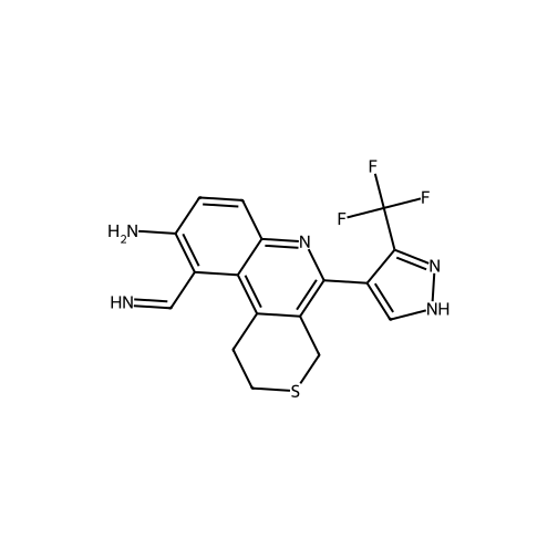 N=Cc1c(N)ccc2nc(-c3c[nH]nc3C(F)(F)F)c3c(c12)CCSC3